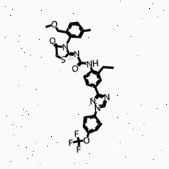 CCc1cc(-c2ncn(-c3ccc(OC(F)(F)F)cc3)n2)ccc1NC(=O)/N=C1\SCC(=O)N1c1cc(C)ccc1COC